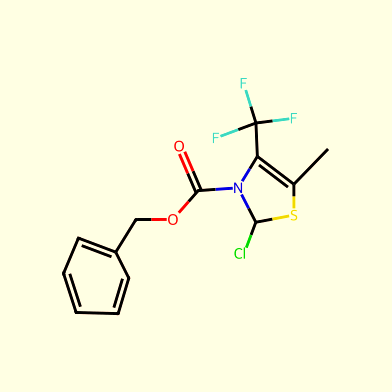 CC1=C(C(F)(F)F)N(C(=O)OCc2ccccc2)C(Cl)S1